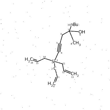 C=CC[Si](C#CCC(C)(O)CCCC)(CC=C)CC=C